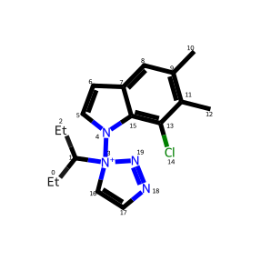 CCC(CC)[N+]1(n2ccc3cc(C)c(C)c(Cl)c32)C=CN=N1